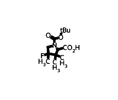 CC(C)(C)OC(=O)N1CC(C)(F)C(C)(C)C1C(=O)O